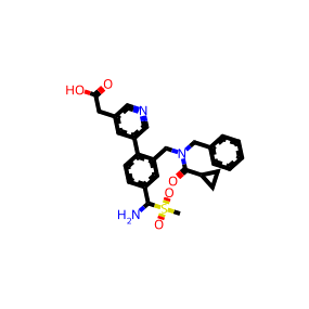 CS(=O)(=O)C(N)c1ccc(-c2cncc(CC(=O)O)c2)c(CN(Cc2ccccc2)C(=O)C2CC2)c1